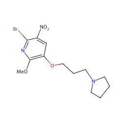 COc1nc(Br)c([N+](=O)[O-])cc1OCCCN1CCCC1